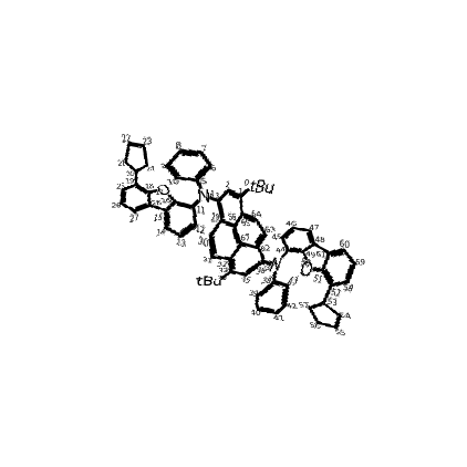 CC(C)(C)c1cc(N(c2ccccc2)c2cccc3c2oc2c(C4CCCC4)cccc23)c2ccc3c(C(C)(C)C)cc(N(c4ccccc4)c4cccc5c4oc4c(C6CCCC6)cccc45)c4ccc1c2c43